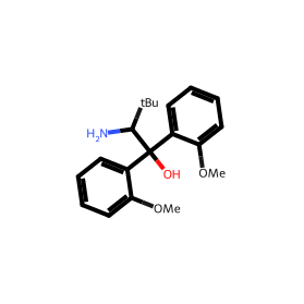 COc1ccccc1C(O)(c1ccccc1OC)C(N)C(C)(C)C